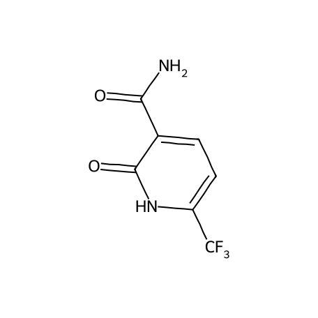 NC(=O)c1ccc(C(F)(F)F)[nH]c1=O